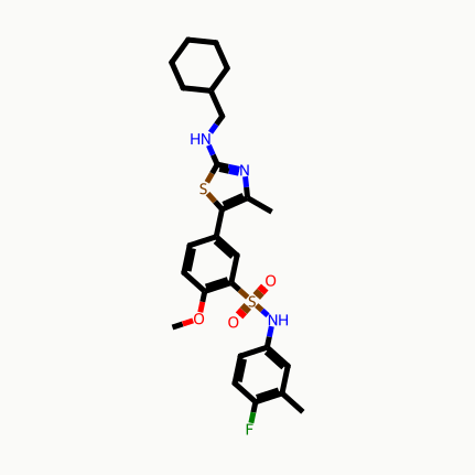 COc1ccc(-c2sc(NCC3CCCCC3)nc2C)cc1S(=O)(=O)Nc1ccc(F)c(C)c1